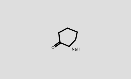 O=C1CCCCC1.[NaH]